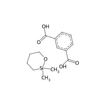 C[Si]1(C)CCCCO1.O=C(O)c1cccc(C(=O)O)c1